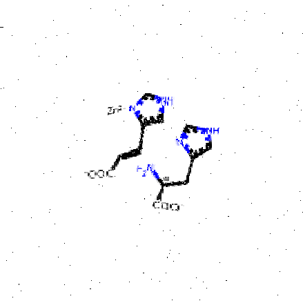 N[C@@H](Cc1c[nH]cn1)C(=O)[O-].O=C([O-])C=Cc1c[nH]cn1.[Zn+2]